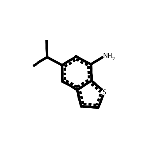 CC(C)c1cc(N)c2sccc2c1